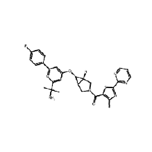 Cc1nc(-c2ncccn2)sc1C(=O)N1CC2[C@@H](C1)[C@@H]2Oc1cc(-c2ccc(F)cc2)nc(C(C)(C)N)c1